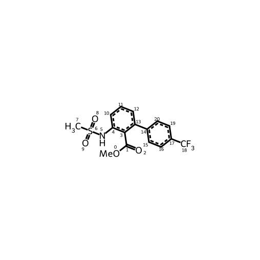 COC(=O)c1c(NS(C)(=O)=O)cccc1-c1ccc(C(F)(F)F)cc1